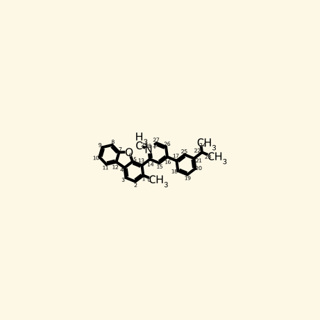 Cc1ccc2c(oc3ccccc32)c1-c1cc(-c2cccc(C(C)C)c2)cc[n+]1C